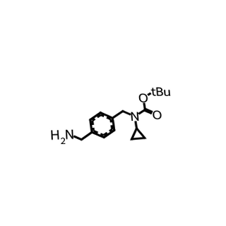 CC(C)(C)OC(=O)N(Cc1ccc(CN)cc1)C1CC1